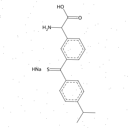 CC(C)c1ccc(C(=S)c2cccc(C(N)C(=O)O)c2)cc1.[NaH]